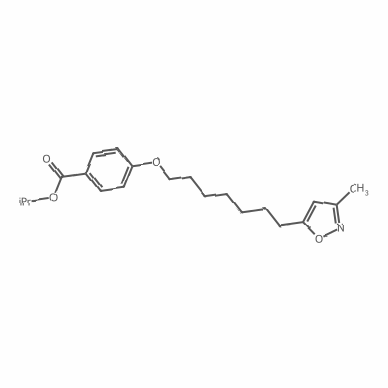 Cc1cc(CCCCCCCOc2ccc(C(=O)OC(C)C)cc2)on1